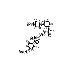 COc1cc(C)c(S(=O)(=O)N(C)CCOCC(=O)N(C)C2CCCC(N3CCN(C(C)C)CC3)C2)c(C)c1